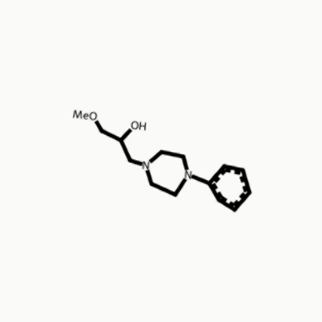 COCC(O)CN1CCN(c2ccccc2)CC1